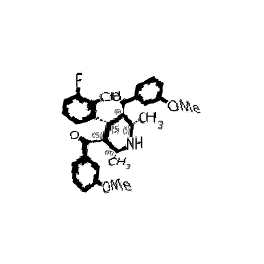 COc1cccc(C(=O)[C@@H]2[C@@H](c3cccc(F)c3C)[C@H](C(=O)c3cccc(OC)c3)[C@@H](C)N[C@H]2C)c1